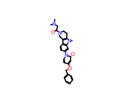 CN(C)CC(=O)N1CCc2c(c3ccc(-n4ccc(OCc5ccccc5)cc4=O)cc3n2C)C1